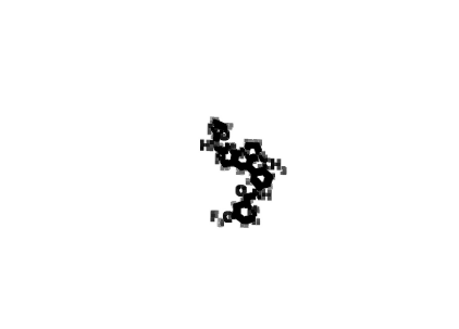 Cc1ccc(NC(=O)c2cc(C(F)(F)F)ccn2)cc1C1=Cc2cnc(Nc3ncco3)nc2N2CCN=C12